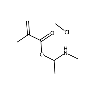 C=C(C)C(=O)OC(C)NC.CCl